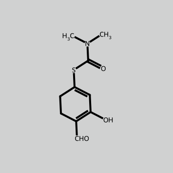 CN(C)C(=O)SC1=CC(O)=C(C=O)CC1